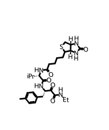 CCNC(=O)C(=O)[C@H](Cc1ccc(C)cc1)NC(=O)[C@@H](NC(=O)CCCCC1SC[C@@H]2NC(=O)N[C@H]12)C(C)C